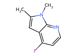 Cc1cc2c(I)ccnc2n1C